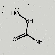 [NH]C(=O)NO